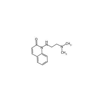 CN(C)CCNn1c(=O)ccc2ccccc21